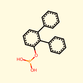 OP(O)Oc1cccc(-c2ccccc2)c1-c1ccccc1